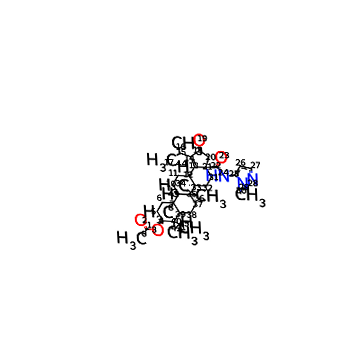 CC(=O)O[C@H]1CC[C@]2(C)[C@H]3CC[C@@H]4C5=C(C(C)C)C(=O)C[C@]5(C(=O)Nc5ccnn5C)CC[C@@]4(C)[C@]3(C)CC[C@H]2C1(C)C